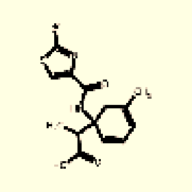 CC1=CC=CC(NC(=O)c2csc(Br)n2)(C(C)C(=O)O)C1